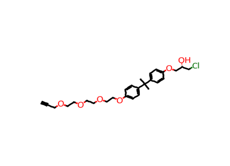 C#CCOCCOCCOCCOc1ccc(C(C)(C)c2ccc(OC[C@H](O)CCl)cc2)cc1